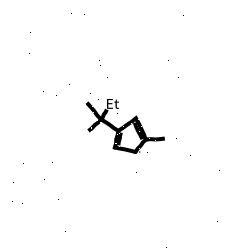 CCC(C)(C)C1=C[CH]C(C)=C1